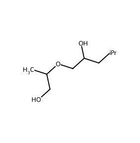 CC(C)CC(O)COC(C)CO